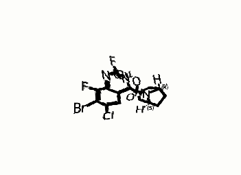 CC(C)(C)OC(=O)N1[C@@H]2CC[C@H]1CN(c1nc(F)nc3c(F)c(Br)c(Cl)cc13)C2